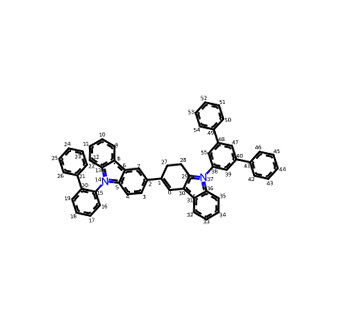 C1=C(c2ccc3c(c2)c2ccccc2n3-c2ccccc2-c2ccccc2)CCc2c1c1ccccc1n2-c1cc(-c2ccccc2)cc(-c2ccccc2)c1